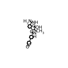 CC(NC(=O)c1ccc(-c2cc[n+]([O-])cc2)cc1)[C@@H](Cc1cccc(C(=N)N)c1)C(=O)O